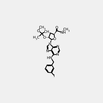 CNC(=O)[C@@H]1C[C@@H](OC(C)(C)OC)[C@H](n2cnc3c(NCc4cccc(I)c4)ncnc32)O1